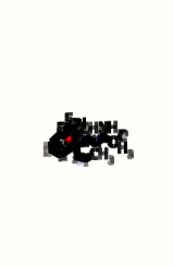 C\C=C/C(=C\C=C(/N)OC)C(N1C2CC1CN(C(C)(C)C)C2)C(F)(F)F